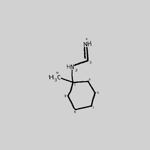 CC1(NC=N)CCCCC1